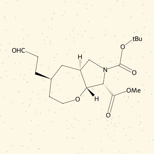 COC(=O)[C@@H]1[C@@H]2OCC[C@@H](CCC=O)C[C@H]2CN1C(=O)OC(C)(C)C